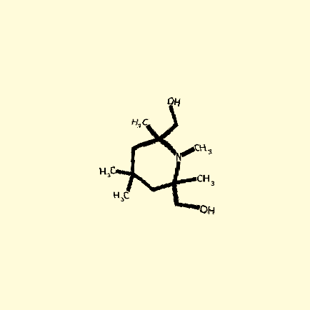 CN1C(C)(CO)CC(C)(C)CC1(C)CO